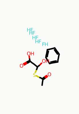 CC(=O)SC(O)C(=O)O.F.F.F.F.F.c1ccccc1